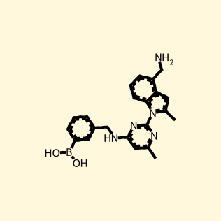 Cc1cc(NCc2cccc(B(O)O)c2)nc(-n2c(C)cc3c(CN)cccc32)n1